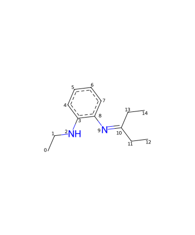 CCNc1ccccc1N=C(CC)CC